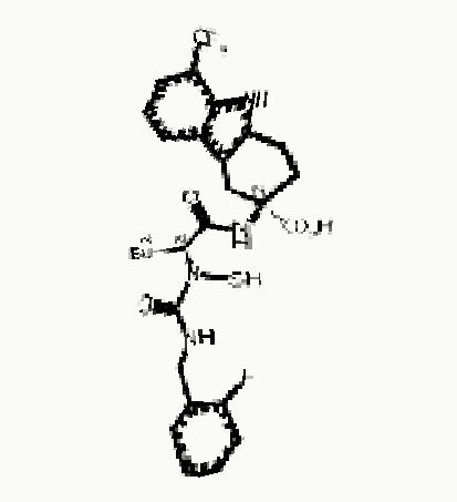 CC[C@H](C)[C@@H](C(=O)N[C@]1(C(=O)O)CCc2[nH]c3c(C(F)(F)F)cccc3c2C1)N(S)C(=O)NCc1ccccc1F